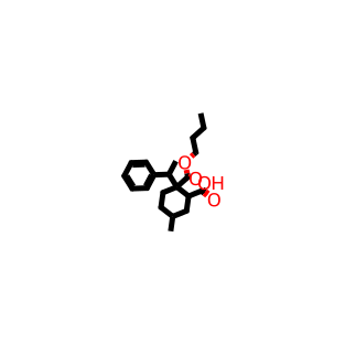 CCCCOC(=O)C1(C(C)c2ccccc2)CCC(C)CC1C(=O)O